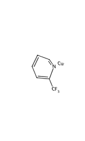 FC(F)(F)c1ccccn1.[Cu]